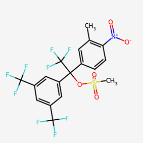 Cc1cc(C(OS(C)(=O)=O)(c2cc(C(F)(F)F)cc(C(F)(F)F)c2)C(F)(F)F)ccc1[N+](=O)[O-]